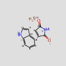 O=C1C=CC(=O)N1.S.c1ccc2[nH]ccc2c1